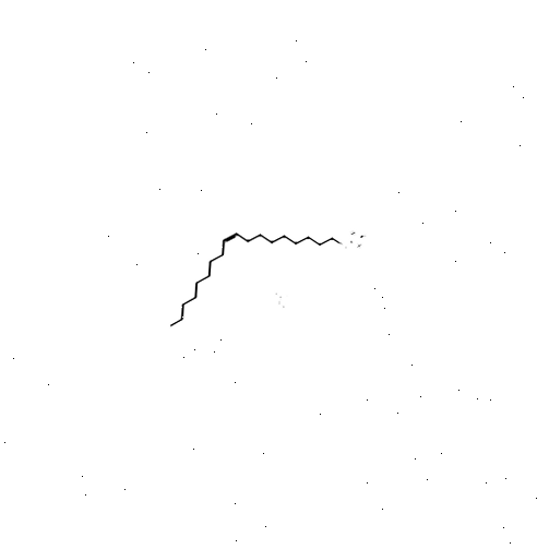 CCCCCCCC/C=C\CCCCCCCC[N-]S(=O)(=O)[O-].[Na+].[Na+]